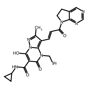 Cc1nn2c(O)c(C(=O)NC3CC3)c(=O)n(CC(C)C)c2c1/C=C/C(=O)N1CCc2cncnc21